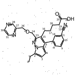 CCc1ccc2c(-c3cccc(C#N)c3)c(CCCCC(=O)O)c(COCc3cnccn3)nn12